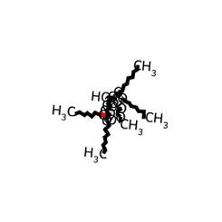 CCCCCCCCOP(=O)(OCCCCCCCC)OP(=O)(O)OP(=O)(OC(=O)COCC)OP(=O)(OCCCCCCCC)OCCCCCCCC